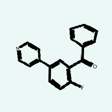 O=C(c1ccccc1)c1cc(-c2ccncc2)ccc1F